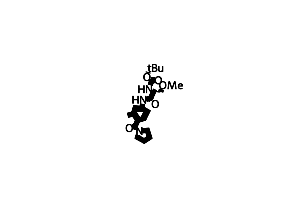 COC[C@@H](NC(=O)OC(C)(C)C)C(=O)Nc1ccc(C(=O)N2CCCC2)c(C)c1